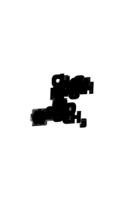 COC(=O)[C@@H]1C[C@@H](n2ncc3c(Cl)cc(S(=O)(=O)NC4(C)CC4)cc32)CN1C(=O)OCc1ccccc1